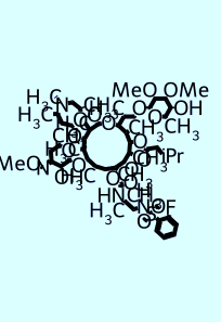 CON=C1C[C@@H](C)O[C@@H](OC2C(C)CC(C)(OC(=O)NC(C)(C)CNS(=O)(=O)c3ccccc3F)C(=O)C(C)C(OC(=O)CC(C)C)C(C)C(C(C)CO[C@@H]3O[C@H](C)[C@@H](O)[C@@H](OC)[C@H]3OC)OC(=O)C(C)C(O[C@H]3CC(C)N(C)C[C@H](C)O3)C2C)[C@@H]1O